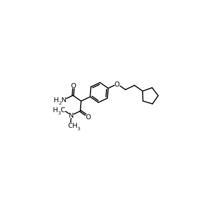 CN(C)C(=O)C(C(N)=O)c1ccc(OCCC2CCCC2)cc1